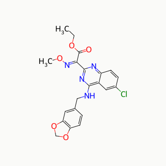 CCOC(=O)C(=NOC)c1nc(NCc2ccc3c(c2)OCO3)c2cc(Cl)ccc2n1